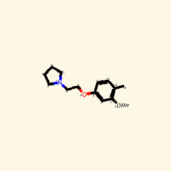 COc1cc(OCCN2CCCC2)ccc1C